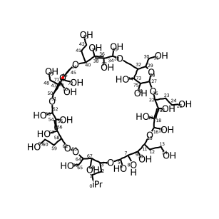 CC(C)CCC1OC(O)C(O)C(O)C(CCO)OC(O)/C(O)=C(\O)C(CCO)OC2OC(CO)C(OC(O)/C(O)=C(\O)C(CCO)OC3OC(CO)C(OC(O)/C(O)=C(\O)C(CCO)OOC(CO)C1O)C(O)C3O)C(O)C2O